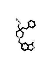 CCOCC1(CCc2ccccc2)CCN(Cc2ccc3c(c2)C(=O)OC3)CC1